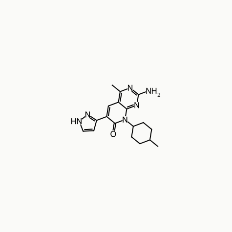 Cc1nc(N)nc2c1cc(-c1cc[nH]n1)c(=O)n2C1CCC(C)CC1